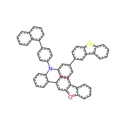 c1cc(-c2ccc3sc4ccccc4c3c2)cc(N(c2ccc(-c3cccc4ccccc34)cc2)c2ccccc2-c2ccc3c(c2)oc2ccccc23)c1